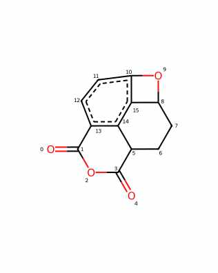 O=C1OC(=O)C2CCC3Oc4ccc1c2c43